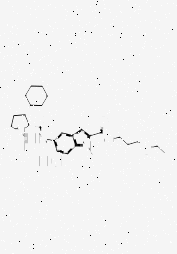 CCOCCCOC(=O)c1cc2cc(NC(=O)[C@H]3NCC[C@H]3C3CCCCC3)ccc2n1C.Cl